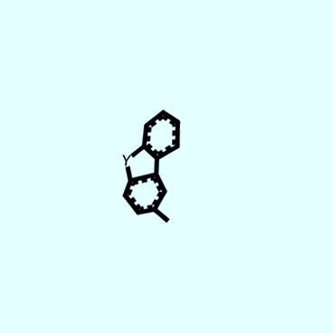 Cc1cc[c]2c(c1)-c1cccc[c]1[Y]2